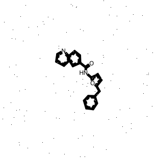 O=C(Nc1ccc(Cc2ccccc2)o1)c1ccc2ncccc2c1